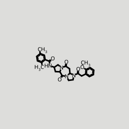 COc1ccccc1CC(=O)N1CCN2C(=O)C3CC(NC(=O)c4cc(C)ccc4C)CN3C(=O)CC12